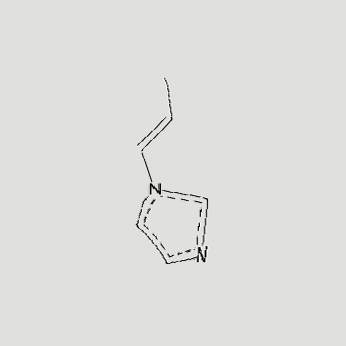 CC=Cn1ccnc1